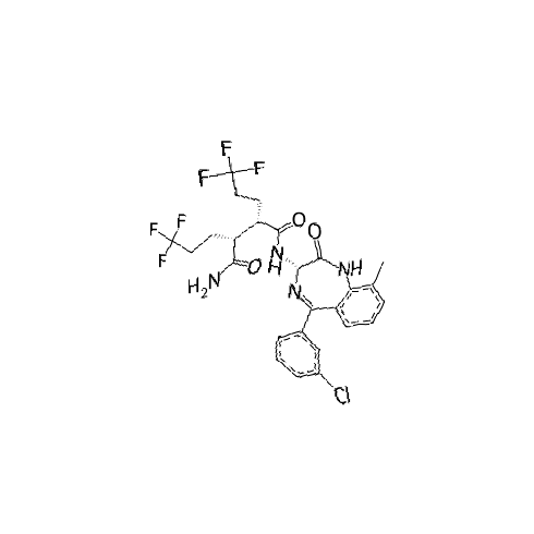 Cc1cccc2c1NC(=O)[C@@H](NC(=O)[C@@H](CCC(F)(F)F)[C@@H](CCC(F)(F)F)C(N)=O)N=C2c1cccc(Cl)c1